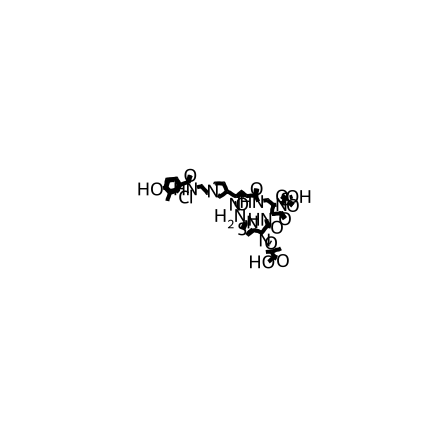 Cc1c(O)ccc(C(=O)NCCN2CCC(c3cc(C(=O)NCC4C(NC(=O)/C(=N\OC(C)(C)C(=O)O)c5csc(N)n5)C(=O)N4S(=O)(=O)O)on3)C2)c1Cl